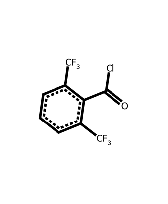 O=C(Cl)c1c(C(F)(F)F)cccc1C(F)(F)F